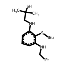 CCC(C)Sc1c(NCC(C)C)cccc1NCC(C)(C)S